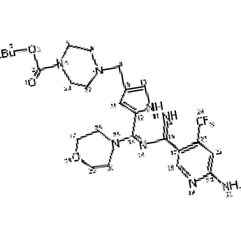 CC(C)(C)OC(=O)N1CCN(Cc2c[nH]c(/C(=N\C(=N)c3cnc(N)cc3C(F)(F)F)N3CCOCC3)c2)CC1